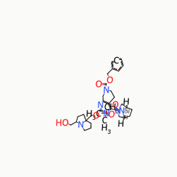 CC(C)(C)OC(=O)N1[C@@H]2CC[C@H]1CN(c1nc(OCC34CCCN3C(CO)CC4)nc3c1CCN(C(=O)OCc1ccccc1)C3)C2